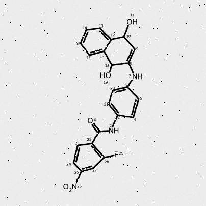 O=C(Nc1ccc(NC2=CC(O)c3ccccc3C2O)cc1)c1ccc([N+](=O)[O-])cc1F